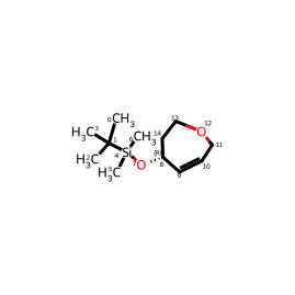 CC(C)(C)[Si](C)(C)O[C@H]1C=CCOCC1